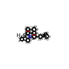 CC1(C)c2ccccc2-c2cccc(N(c3ccc(-c4ccc(C56CC7CC(CC(C7)C5)C6)cc4)cc3)c3ccccc3-c3cccc4cccc(-c5ccccc5)c34)c21